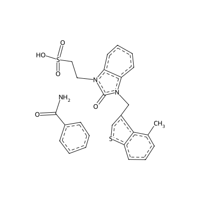 Cc1cccc2scc(Cn3c(=O)n(CCS(=O)(=O)O)c4ccccc43)c12.NC(=O)c1ccccc1